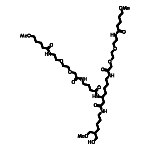 COCCCCC(=O)NCCOCCOCC(=O)NCCCCC(CC(=O)NCCCCC(CO)COC)NC(=O)CCCNC(=O)COCCOCCNC(=O)CCCCOC